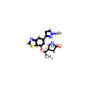 CC(C)n1ccc(-c2cc(O[C@H](C)C3CNC(=O)C3)c3scnc3c2)n1